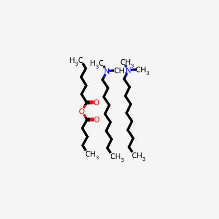 CCCCCC(=O)OC(=O)CCCC.CCCCCCCCCCN(C)C.CCCCCCCCCCN(C)C